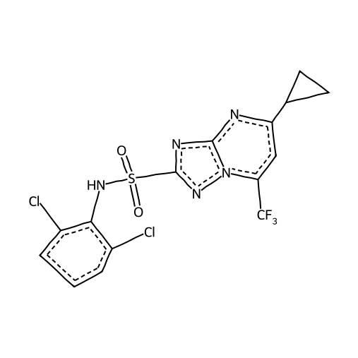 O=S(=O)(Nc1c(Cl)cccc1Cl)c1nc2nc(C3CC3)cc(C(F)(F)F)n2n1